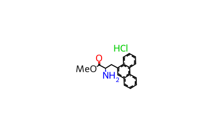 COC(=O)[C@H](N)Cc1cc2ccccc2c2ccccc12.Cl